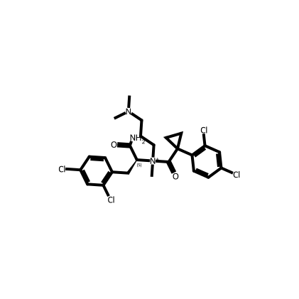 CN(C)CCC[N+](C)(C(=O)C1(c2ccc(Cl)cc2Cl)CC1)[C@@H](Cc1ccc(Cl)cc1Cl)C(N)=O